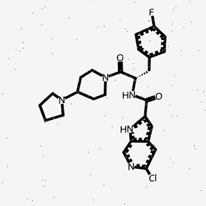 O=C(N[C@@H](Cc1ccc(F)cc1)C(=O)N1CCC(N2CCCC2)CC1)c1cc2cc(Cl)ncc2[nH]1